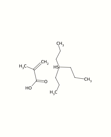 C=C(C)C(=O)O.CCC[SiH](CCC)CCC